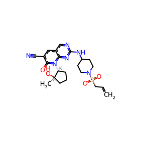 C=CCS(=O)(=O)N1CCC(Nc2ncc3cc(C#N)c(=O)n([C@@H]4CCC[C@@]4(C)O)c3n2)CC1